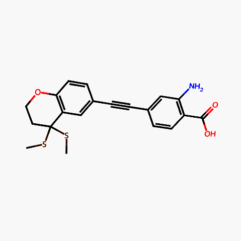 CSC1(SC)CCOc2ccc(C#Cc3ccc(C(=O)O)c(N)c3)cc21